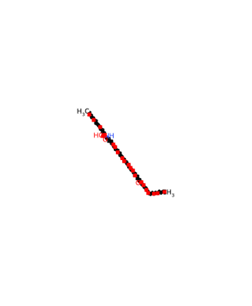 CCCCCCCC/C=C\CCCCCCCC(=O)CCCCCCCCCCCCCCCCCCCCCCCCCCCCCC(=O)NC(CO)CCCCCCCCCCCCCCCC